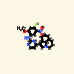 COc1cc(F)c([N+](=O)[O-])cc1Nc1nccc(-c2cn3c4c(cccc24)CCC3)n1